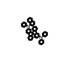 c1ccc(N(c2ccccc2)c2ccc3c(c2)-c2ccccc2C32c3ccccc3-c3ccc(N(c4ccccc4)c4cccc5ccccc45)cc32)cc1